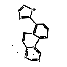 c1cc(-c2ncc[nH]2)c2ccc3ncncc3c2c1